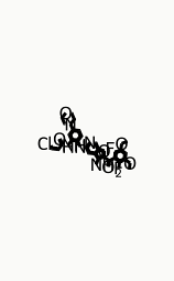 COc1cc(OC)c(F)c(C(=O)c2oc3cnc(Nc4ccc(N5CCOCC5)cc4NC(=O)/C=C\Cl)cc3c2N)c1F